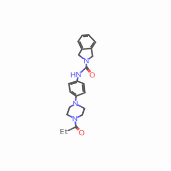 CCC(=O)N1CCN(c2ccc(NC(=O)N3Cc4ccccc4C3)cc2)CC1